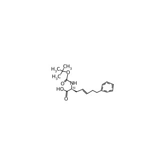 CC(C)(C)OC(=O)N[C@@H](CC=CCCc1ccccc1)C(=O)O